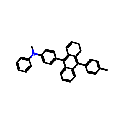 Cc1ccc(-c2c3c(c(-c4ccc(N(C)c5ccccc5)cc4)c4ccccc24)C=CCC3)cc1